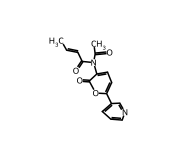 CC=CC(=O)N(C(C)=O)c1ccc(-c2cccnc2)oc1=O